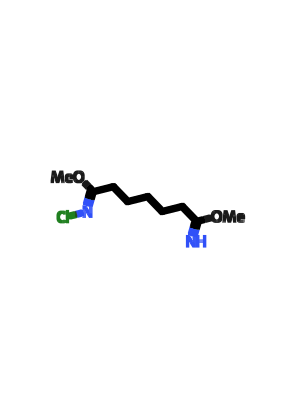 COC(=N)CCCCCC(=NCl)OC